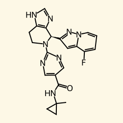 CC1(NC(=O)c2cnc(N3CCc4[nH]cnc4[C@H]3c3cc4c(F)cccn4n3)nc2)CC1